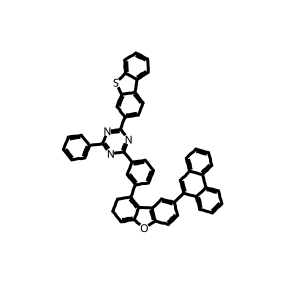 C1=c2oc3ccc(-c4cc5ccccc5c5ccccc45)cc3c2=C(c2cccc(-c3nc(-c4ccccc4)nc(-c4ccc5c(c4)sc4ccccc45)n3)c2)CC1